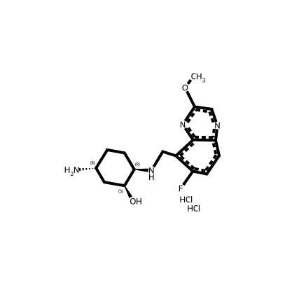 COc1cnc2ccc(F)c(CN[C@@H]3CC[C@@H](N)C[C@@H]3O)c2n1.Cl.Cl